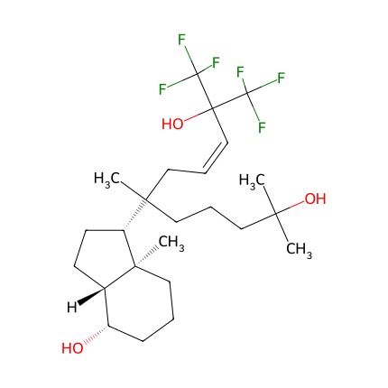 CC(C)(O)CCCC(C)(CC=CC(O)(C(F)(F)F)C(F)(F)F)[C@H]1CC[C@H]2[C@@H](O)CCC[C@]12C